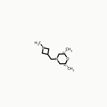 C[C@@H]1CN(CC2CN(C)C2)C[C@H](C)O1